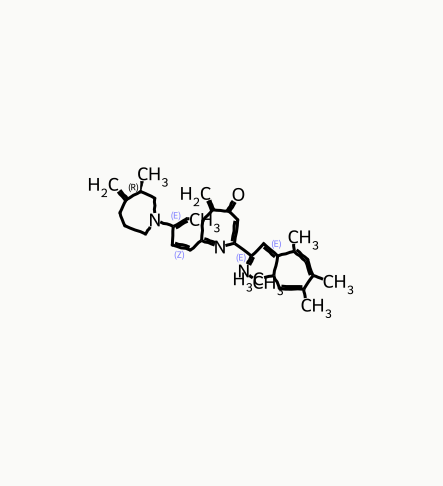 C=C1CC(/C=C\C(=C/C)N2CCCC(=C)[C@@H](C)C2)=NC(C(/C=C2/C(C)=C=C(C)C(C)=CC2C)=N/C)=CC1=O